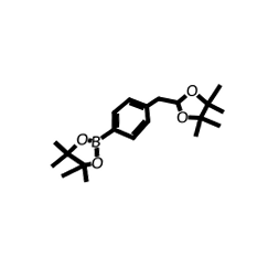 CC1(C)OB(c2ccc(CC3OC(C)(C)C(C)(C)O3)cc2)OC1(C)C